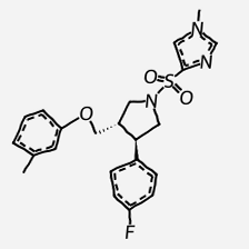 Cc1cccc(OC[C@@H]2CN(S(=O)(=O)c3cn(C)cn3)C[C@H]2c2ccc(F)cc2)c1